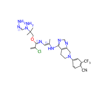 C=C(Cl)/C(=N\C=C(/C)Nc1ncnc2c1CCN(c1ccc(C#N)c(C(F)(F)F)c1)C2)OCC(C)(C)N(N)/C=N\N